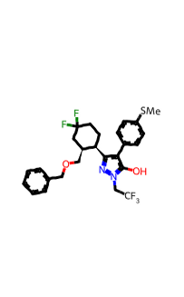 CSc1ccc(-c2c([C@@H]3CCC(F)(F)C[C@@H]3COCc3ccccc3)nn(CC(F)(F)F)c2O)cc1